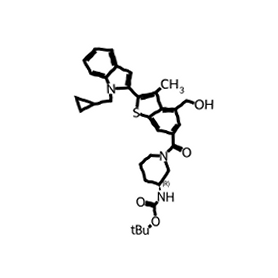 Cc1c(-c2cc3ccccc3n2CC2CC2)sc2cc(C(=O)N3CCC[C@@H](NC(=O)OC(C)(C)C)C3)cc(CO)c12